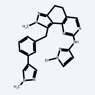 CCn1ccc(Nc2ncc3c(n2)-c2c(nn(C)c2Cc2cccc(-c4cnn(C)c4)c2)CC3)n1